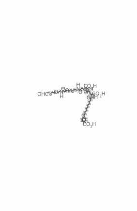 O=[C]COCCOCCNC(=O)COCCOCCNC(=O)CC[C@H](NC(=O)CC[C@H](NC(=O)CCCCCCCCCOc1ccc(C(=O)O)cc1)C(=O)O)C(=O)O